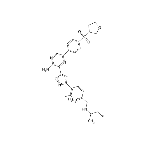 C=C(/C=C\C(=C(/C)F)c1cc(-c2nc(-c3ccc(S(=O)(=O)C4CCOC4)cc3)cnc2N)on1)CNC(C)CF